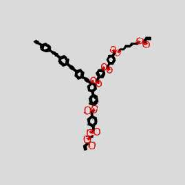 C#Cc1ccc(C#Cc2ccc(C#Cc3ccc(C#CC4(OC(=O)c5ccc(OC(=O)C6CCC(C(=O)OCCCCCCOC(=O)C=C)CC6)cc5)CCC(c5ccc(OC(=O)C6CCC(C(=O)OCOC(=O)C=C)CC6)cc5)CC4)cc3)cc2)cc1